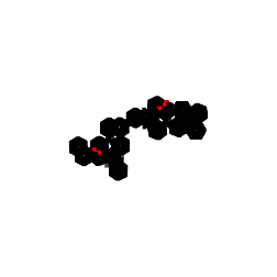 c1ccc(N(c2ccc3c(c2)C(c2ccccc2)(c2ccccc2)c2ccccc2-3)c2cccc3c2c2c4ccccc4n4c5ccc(-c6ccc7c(N(c8ccc(-c9cccc%10ccccc9%10)cc8)c8cccc9c8c8c%10ccccc%10n%10c%11ccccc%11n9c8%10)cccc7c6)cc5n3c24)cc1